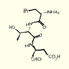 CC(=O)N[C@@H](CC(C)C)C(=O)N[C@H](C(=O)N[C@H](C=O)CC(=O)O)[C@@H](C)O